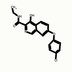 CCNC(=O)c1ncc2cc(Oc3ccc(Cl)cc3)ccc2c1O